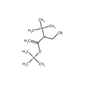 C=C(O[Si](C)(C)C)N(CC#N)[Si](C)(C)C